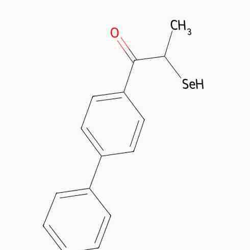 CC([SeH])C(=O)c1ccc(-c2ccccc2)cc1